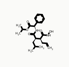 C=CC[C@H](C(=O)NO)[C@@H](CC(C)C)C(=O)N[C@H](C(=O)OC(C)C)c1ccccc1